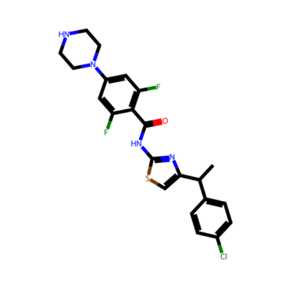 CC(c1ccc(Cl)cc1)c1csc(NC(=O)c2c(F)cc(N3CCNCC3)cc2F)n1